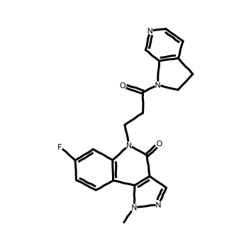 Cn1ncc2c(=O)n(CCC(=O)N3CCc4ccncc43)c3cc(F)ccc3c21